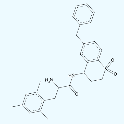 Cc1cc(C)c(CC(N)C(=O)NC2CCS(=O)(=O)c3ccc(Cc4ccccc4)cc32)c(C)c1